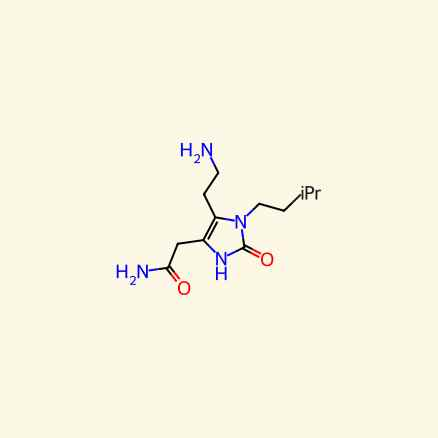 CC(C)CCn1c(CCN)c(CC(N)=O)[nH]c1=O